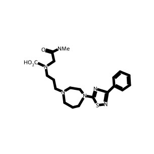 CNC(=O)CN(CCCN1CCCN(c2nc(-c3ccccc3)ns2)CC1)C(=O)O